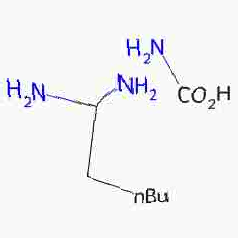 CCCCCC(N)N.NC(=O)O